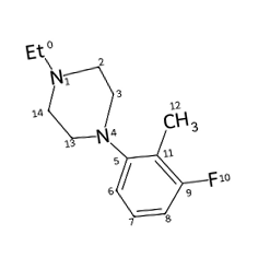 CCN1CCN(c2cccc(F)c2C)CC1